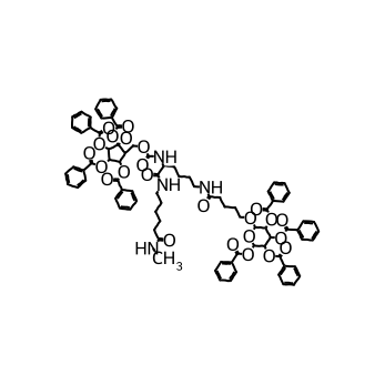 CNC(=O)CCCCCNC(=O)[C@H](CCCCNC(=O)CCCCOC1OC(OC(=O)c2ccccc2)C(OC(=O)c2ccccc2)C(OC(=O)c2ccccc2)C1OC(=O)c1ccccc1)NC(=O)OC1OC2(OC(=O)c3ccccc3)C(OC(=O)c3ccccc3)C(OC(=O)c3ccccc3)C(OC(=O)c3ccccc3)C12